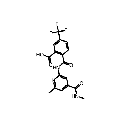 CNC(=O)c1cc(C)nc(NC(=O)c2ccc(C(F)(F)F)cc2C(=O)O)c1